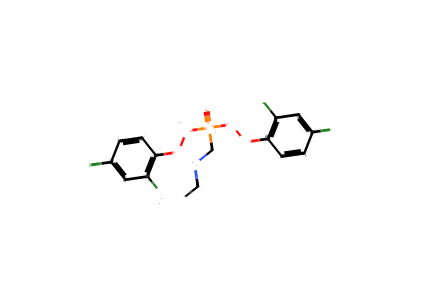 CCOC(=O)CNCP(=O)(OOc1ccc(Cl)cc1Cl)OOc1ccc(Cl)cc1Cl